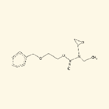 CCN(C(=O)OCCOCc1ccccc1)C1CO1